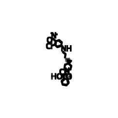 CN(C)C(=O)c1ccc(NCCC[C@@H]2CC23CCN(C(=O)[C@](O)(c2ccccc2)C(F)(F)F)CC3)cc1Cl